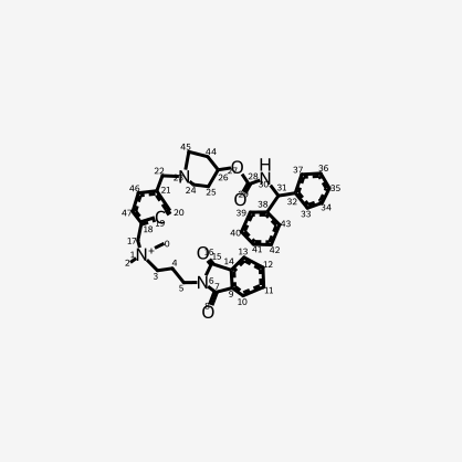 C[N+](C)(CCCN1C(=O)c2ccccc2C1=O)Cc1ccc(CN2CCC(OC(=O)NC(c3ccccc3)c3ccccc3)CC2)cc1